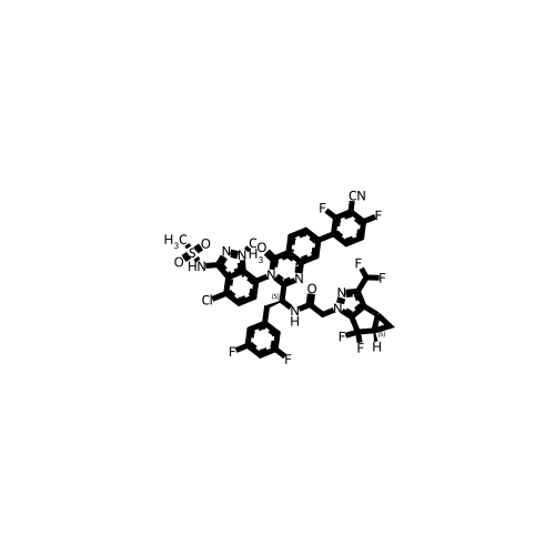 Cn1nc(NS(C)(=O)=O)c2c(Cl)ccc(-n3c([C@H](Cc4cc(F)cc(F)c4)NC(=O)Cn4nc(C(F)F)c5c4C(F)(F)[C@H]4CC54)nc4cc(-c5ccc(F)c(C#N)c5F)ccc4c3=O)c21